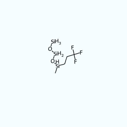 C[SiH](CCC(F)(F)F)O[SiH2]O[SiH3]